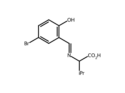 CC(C)C(N=Cc1cc(Br)ccc1O)C(=O)O